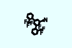 N#Cc1cc(-c2ccccc2C(F)(F)F)cc(-c2ccccc2C(F)(F)F)c1